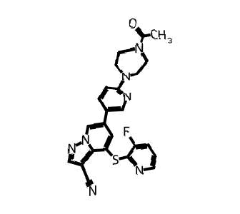 CC(=O)N1CCN(c2ccc(-c3cc(Sc4ncccc4F)c4c(C#N)cnn4c3)cn2)CC1